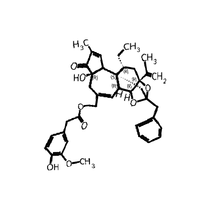 C=C(C)[C@]12C[C@@H](CC)[C@@]34CC(Cc5ccccc5)(O[C@@H]1[C@@H]3C=C(COC(=O)Cc1ccc(O)c(OC)c1)C[C@]1(O)C(=O)C(C)=CC41)O2